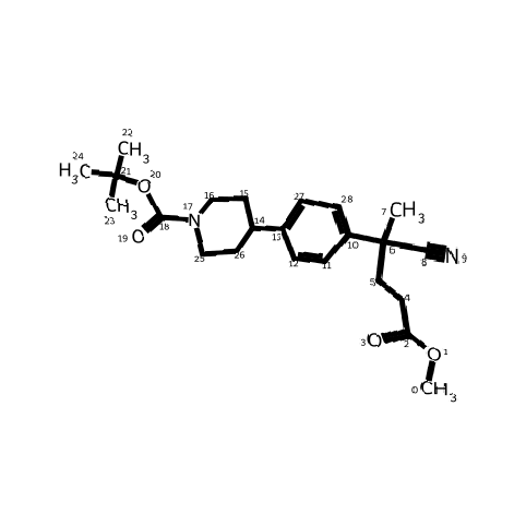 COC(=O)CCC(C)(C#N)c1ccc(C2CCN(C(=O)OC(C)(C)C)CC2)cc1